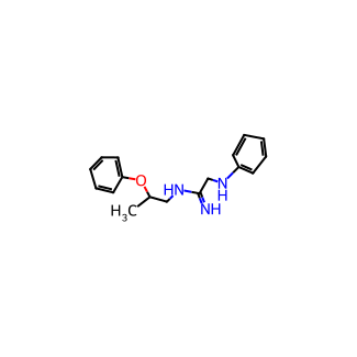 CC(CNC(=N)CNc1ccccc1)Oc1ccccc1